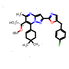 Cc1nc2cc(-c3ncc(Cc4ccc(F)cc4)o3)nn2c(C2=CCC(C)(C)CC2)c1[C@H](OC(C)(C)C)C(=O)O